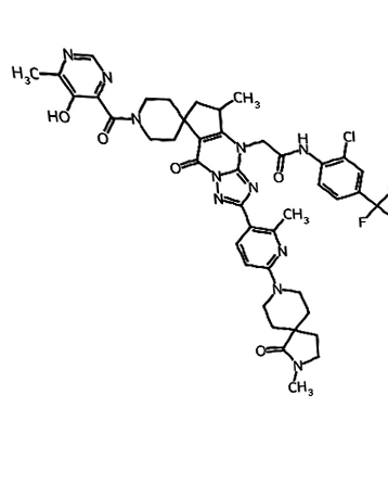 Cc1nc(N2CCC3(CCN(C)C3=O)CC2)ccc1-c1nc2n(CC(=O)Nc3ccc(C(F)(F)F)cc3Cl)c3c(c(=O)n2n1)C1(CCN(C(=O)c2ncnc(C)c2O)CC1)CC3C